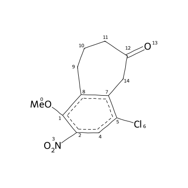 COc1c([N+](=O)[O-])cc(Cl)c2c1CCCC(=O)C2